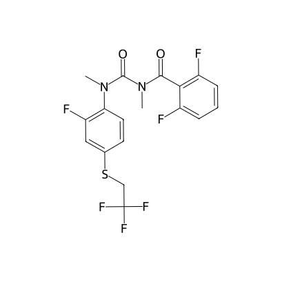 CN(C(=O)c1c(F)cccc1F)C(=O)N(C)c1ccc(SCC(F)(F)F)cc1F